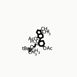 C=C1CCC2C(OC(C)=O)C([C@@]3(C)CC[C@H](OC(C)=O)C[C@@H]3CCO[Si](C)(C)C(C)(C)C)CCC12C